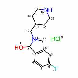 Cl.OC1c2ccc(F)cc2CN1CC1CCNCC1